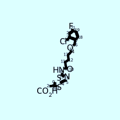 CC(C)(Sc1cnc(NC(=O)CCCCOCc2ccc(F)cc2Cl)s1)C(=O)O